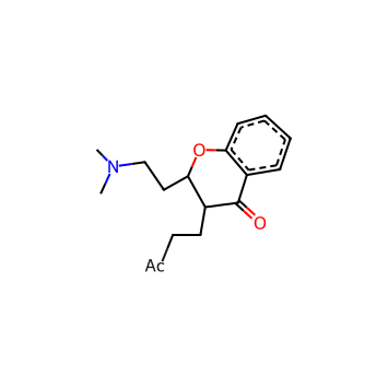 CC(=O)CCC1C(=O)c2ccccc2OC1CCN(C)C